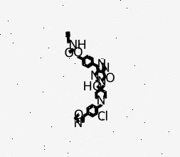 C#CCNC(=O)OCc1ccc(-c2c3ncn(CC4(O)CCN(Cc5ccc(-c6cnco6)cc5Cl)CC4)c(=O)c3nn2C)cc1